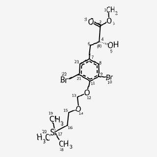 COC(=O)[C@H](O)Cc1cc(Br)c(OCOCC[Si](C)(C)C)c(Br)c1